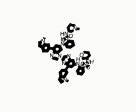 CN1CCCC(NS(=O)(=O)c2ccccc2Nc2cc(-c3ccc4ccn(C)c4c3)c3nccnc3c2)C1.Cn1ccc2ccc(-c3cc(Nc4ccccc4S(=O)(=O)NC4CCCOC4)cc4nccnc34)cc21